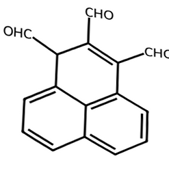 O=CC1=C(C=O)C(C=O)c2cccc3cccc1c23